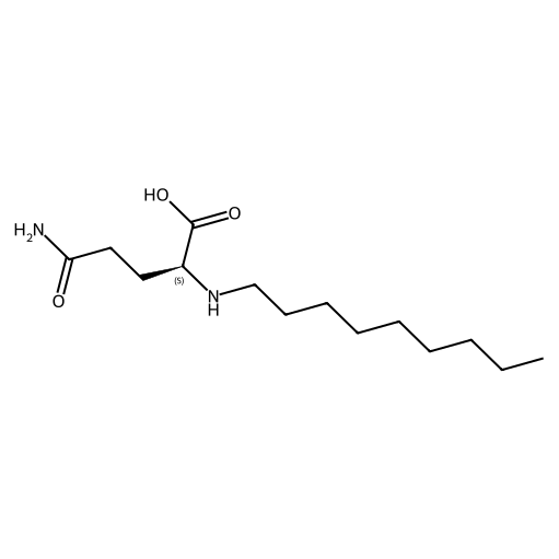 CCCCCCCCCN[C@@H](CCC(N)=O)C(=O)O